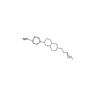 C=CCCC1CCC2CC(c3ccc(C#N)cc3)CCC2C1